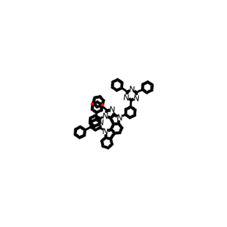 c1ccc(-c2cc(-c3ccccc3)nc(-n3c4ccccc4c4ccc5c(c6c(nc(-c7ccccc7)n6-c6ccccc6)n5-c5cccc(-c6nc(-c7ccccc7)nc(-c7ccccc7)n6)c5)c43)c2)cc1